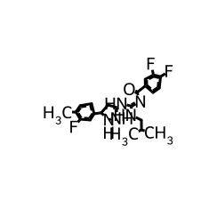 Cc1ccc(C2CC(N/C(=N\C(=O)c3ccc(F)c(F)c3)NCC(C)C)NN2)cc1F